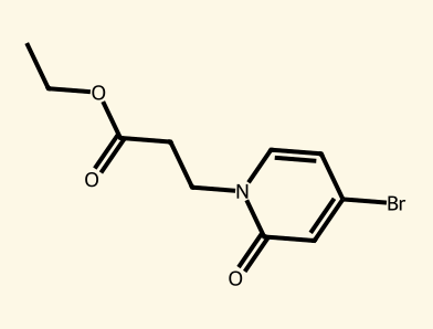 CCOC(=O)CCn1ccc(Br)cc1=O